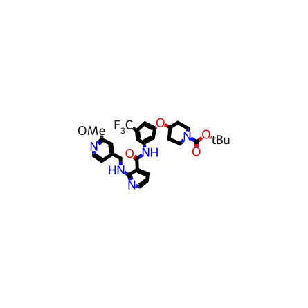 COc1cc(CNc2ncccc2C(=O)Nc2cc(OC3CCN(C(=O)OC(C)(C)C)CC3)cc(C(F)(F)F)c2)ccn1